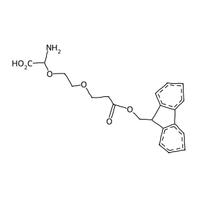 NC(OCCOCCC(=O)OCC1c2ccccc2-c2ccccc21)C(=O)O